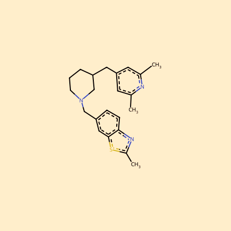 Cc1cc(CC2CCCN(Cc3ccc4nc(C)sc4c3)C2)cc(C)n1